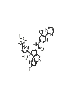 CC(F)(F)n1ccc([C@@]2(C)C[C@H](C(=O)Nc3cnc(-c4ncccn4)c(C(F)(F)F)c3)c3cnc4cc(F)nn4c32)n1